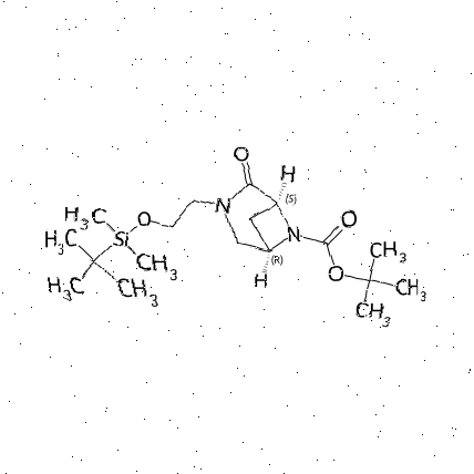 CC(C)(C)OC(=O)N1[C@@H]2C[C@H]1C(=O)N(CCO[Si](C)(C)C(C)(C)C)C2